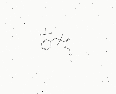 CCOC(=O)C(F)(F)Cc1ccccc1C(F)(F)F